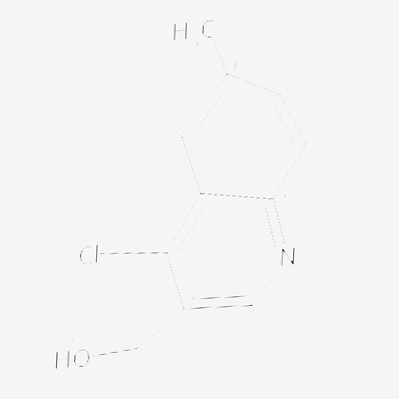 Cc1ccc2ncc(CO)c(Cl)c2c1